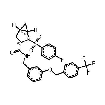 O=C(NCc1cccc(OCc2ccc(C(F)(F)F)cc2)c1)[C@@H]1C[C@@H]2C[C@@H]2N1S(=O)(=O)c1ccc(F)cc1